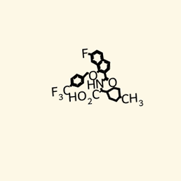 CC1CCC([C@H](NC(=O)c2ccc3ccc(F)cc3c2OCc2ccc(C(F)(F)F)cc2)C(=O)O)CC1